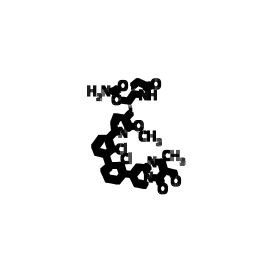 COc1nc(-c2cccc(-c3cccc(-c4ccn5c(=O)c(C=O)c(C)nc5c4)c3Cl)c2Cl)ccc1C[C@H](OC(N)=O)[C@@H]1CCC(=O)N1